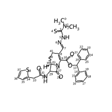 CN(C)C(=S)NN=CC1=C(C(=O)OC(c2ccccc2)c2ccccc2)N2C(=O)C(NC(=O)Cc3cccs3)[C@@H]2SC1